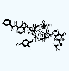 CC(C)C(=O)Nc1nc2c(ncn2[C@@H]2S[C@@H]3COP(=S)(SCc4ccc(Cl)cc4Cl)O[C@H]4[C@H](F)[C@H](n5cnc6c(NC(=O)c7ccccc7)ncnc65)O[C@@H]4COP(=O)(O)O[C@@H]2[C@@H]3O[Si](C)(C)C(C)(C)C)c(=O)[nH]1